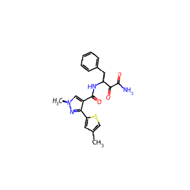 Cc1csc(-c2nn(C)cc2C(=O)NC(Cc2ccccc2)C(=O)C(N)=O)c1